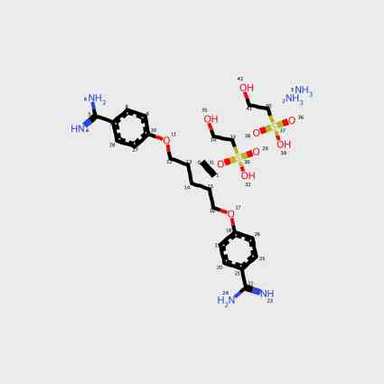 C=C.N.N.N=C(N)c1ccc(OCCCCCOc2ccc(C(=N)N)cc2)cc1.O=S(=O)(O)CCO.O=S(=O)(O)CCO